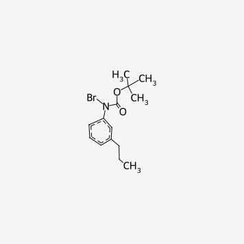 CCCc1cccc(N(Br)C(=O)OC(C)(C)C)c1